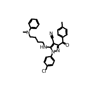 Cc1ccc(C(=O)c2nn(-c3ccc(Cl)cc3)c(NCCCCN(C)c3ccccc3)c2C#N)cc1